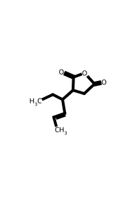 CC=CC(CC)C1CC(=O)OC1=O